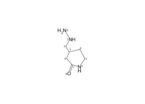 NNCC1CCNC(=O)C1